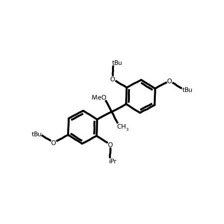 COC(C)(c1ccc(OC(C)(C)C)cc1OC(C)C)c1ccc(OC(C)(C)C)cc1OC(C)(C)C